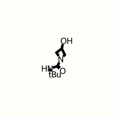 CC(C)(C)NC(=O)N1CC(O)C1